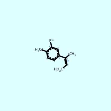 C/C(=C/C(=O)O)c1ccc(C)c(F)c1